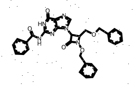 O=C(Nc1nc2c(ncn2C2C(=O)N(OCc3ccccc3)C2COCc2ccccc2)c(=O)[nH]1)c1ccccc1